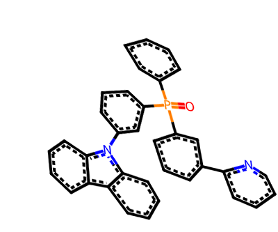 O=P(c1ccccc1)(c1cccc(-c2ccccn2)c1)c1cccc(-n2c3ccccc3c3ccccc32)c1